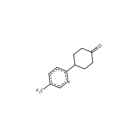 O=C1CCC(c2ccc(C(F)(F)F)cn2)CC1